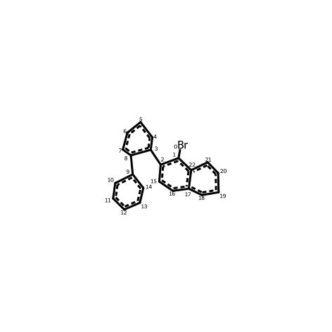 Brc1c(-c2ccccc2-c2ccccc2)ccc2ccccc12